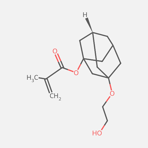 C=C(C)C(=O)OC12CC3C[C@H](CC(OCCO)(C3)C1)C2